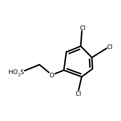 O=S(=O)(O)COc1cc(Cl)c(Cl)cc1Cl